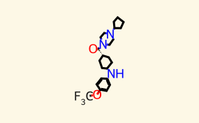 O=C([C@H]1CC[C@H](Nc2ccc(OC(F)(F)F)cc2)CC1)N1CCN(C2CCCC2)CC1